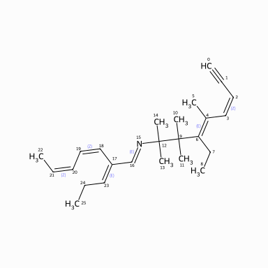 C#C/C=C\C(C)=C(/CC)C(C)(C)C(C)(C)/N=C/C(/C=C\C=C/C)=C/CC